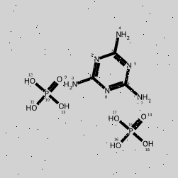 Nc1nc(N)nc(N)n1.O=P(O)(O)O.O=P(O)(O)O